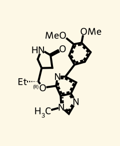 CC[C@@H](Oc1nc(-c2ccc(OC)c(OC)c2)cc2ncn(C)c12)C1CNC(=O)C1